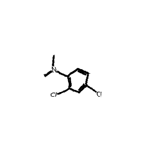 CN(C)c1c[c]c(Cl)cc1Cl